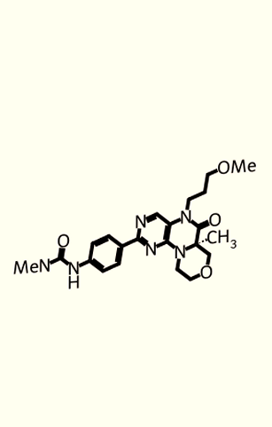 CNC(=O)Nc1ccc(-c2ncc3c(n2)N2CCOC[C@]2(C)C(=O)N3CCCOC)cc1